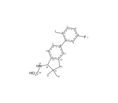 Cc1ccc(F)cc1-c1ccc2c(c1)CC(C)(C)C2NC(=O)O